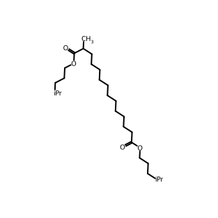 CC(C)CCCOC(=O)CCCCCCCCCCCC(C)C(=O)OCCCC(C)C